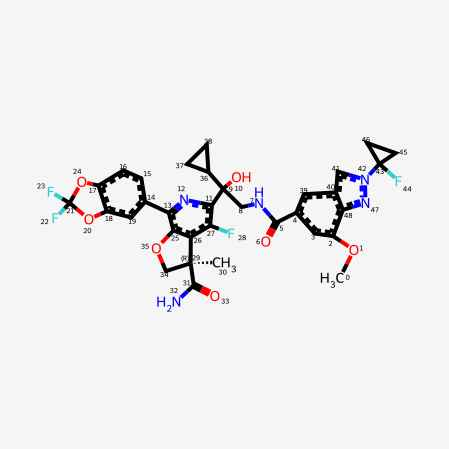 COc1cc(C(=O)NCC(O)(c2nc(-c3ccc4c(c3)OC(F)(F)O4)c3c(c2F)[C@@](C)(C(N)=O)CO3)C2CC2)cc2cn(C3(F)CC3)nc12